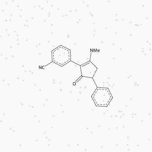 CNC1=C(c2cccc(C#N)c2)C(=O)C(c2ccccc2)C1